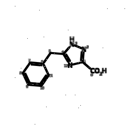 O=C(O)c1n[nH]c(CC2=CC=C=C=C2)n1